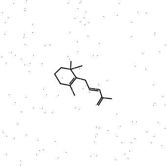 [CH]=C(C)C=CCC1=C(C)CCCC1(C)C